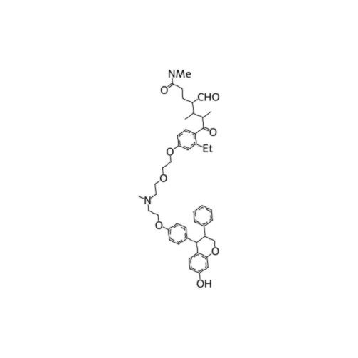 CCc1cc(OCCOCCN(C)CCOc2ccc(C3c4ccc(O)cc4OCC3c3ccccc3)cc2)ccc1C(=O)C(C)C(C)C(C=O)CCC(=O)NC